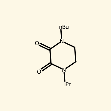 CCCCN1CCN(C(C)C)C(=O)C1=O